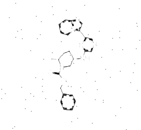 C[C@H]1CC[C@@H](Nc2cncc(-c3cnc4ccccn34)n2)CN1C(=O)OCc1ccccc1